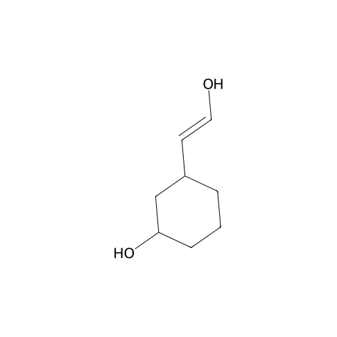 OC=CC1CCCC(O)C1